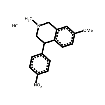 COc1ccc2c(c1)CN(C)CC2c1ccc([N+](=O)[O-])cc1.Cl